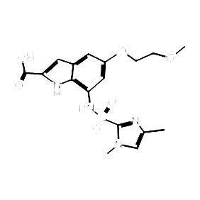 COCCOc1cc(NS(=O)(=O)c2nc(C)cn2C)c2[nH]c(C(=O)O)cc2c1